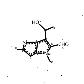 Cc1cc2c(s1)c(C(C)O)c(C=O)n2C